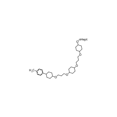 CCCCCCCOC1CCC(OCCCOC2CCC(OCCCOC3CCC(c4ccc(C)cc4)CC3)CC2)CC1